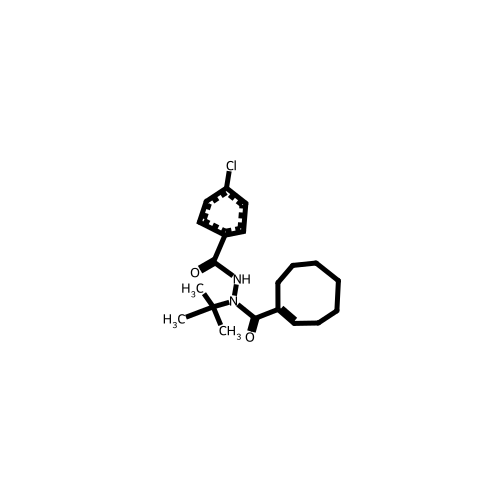 CC(C)(C)N(NC(=O)c1ccc(Cl)cc1)C(=O)/C1=C/CCCCCC1